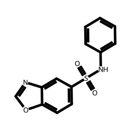 O=S(=O)(Nc1ccccc1)c1ccc2ocnc2c1